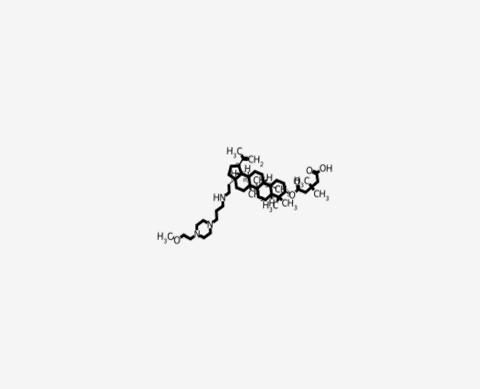 C=C(C)[C@@H]1CC[C@]2(CCNCCCN3CCN(CCOC)CC3)CC[C@]3(C)[C@H](CC[C@@H]4[C@@]5(C)CC[C@H](OC(=O)CC(C)(C)CC(=O)O)C(C)(C)[C@@H]5CC[C@]43C)[C@@H]12